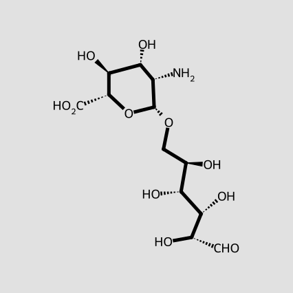 N[C@@H]1[C@H](OC[C@@H](O)[C@@H](O)[C@H](O)[C@@H](O)C=O)O[C@H](C(=O)O)[C@@H](O)[C@@H]1O